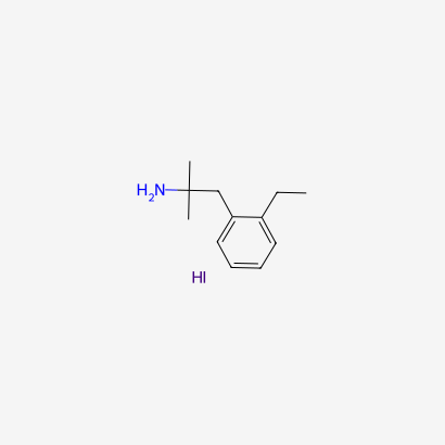 CCc1ccccc1CC(C)(C)N.I